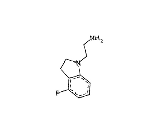 NCCN1CCc2c(F)cccc21